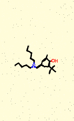 CCCCCN(C=C1C=C(C)C(O)=C(C(C)(C)C)C1)CCCCC